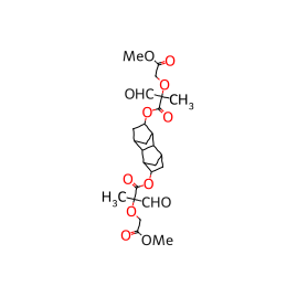 COC(=O)COC(C)(C=O)C(=O)OC1CC2CC1C1C3CC(OC(=O)C(C)(C=O)OCC(=O)OC)C(C3)C21